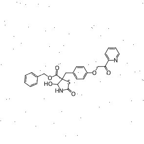 O=C1NC(O)C(Cc2ccc(OCC(=O)c3ccccn3)cc2)(C(=O)OCc2ccccc2)S1